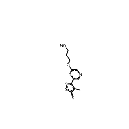 Cc1c(-c2cncc(OCCCO)n2)ssc1=S